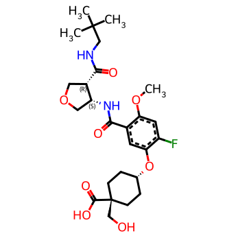 COc1cc(F)c(O[C@H]2CC[C@@](CO)(C(=O)O)CC2)cc1C(=O)N[C@@H]1COC[C@@H]1C(=O)NCC(C)(C)C